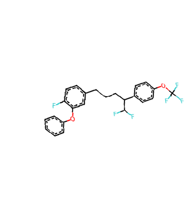 Fc1ccc(CCCC(c2ccc(OC(F)(F)F)cc2)C(F)F)cc1Oc1ccccc1